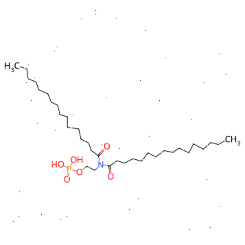 CCCCCCCCCCCCCCCC(=O)N(CCOP(=O)(O)O)C(=O)CCCCCCCCCCCCCCC